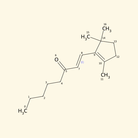 CCCCCC(=O)/C=C/C1=C(C)CCC1(C)C